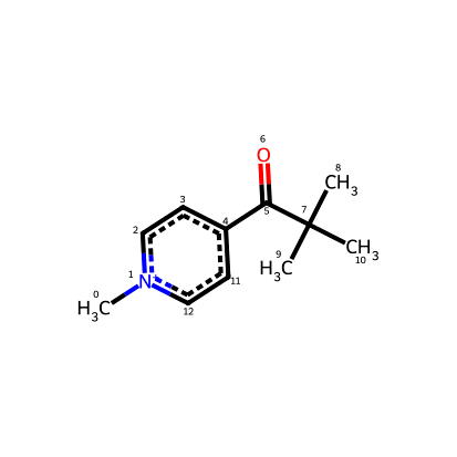 C[n+]1ccc(C(=O)C(C)(C)C)cc1